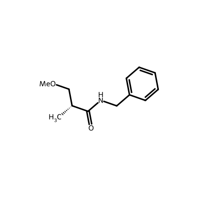 COC[C@@H](C)C(=O)NCc1ccccc1